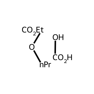 CCCOC(=O)OCC.O=C(O)O